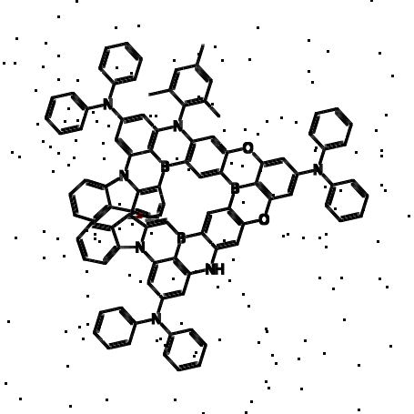 Cc1cc(C)c(N2c3cc4c(cc3B3c5c2cc(N(c2ccccc2)c2ccccc2)cc5-n2c5ccccc5c5cccc3c52)B2c3cc5c(cc3Oc3cc(N(c6ccccc6)c6ccccc6)cc(c32)O4)Nc2cc(N(c3ccccc3)c3ccccc3)cc3c2B5c2cccc4c5ccccc5n-3c24)c(C)c1